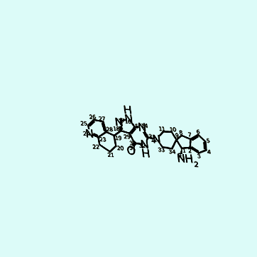 N[C@@H]1c2ccccc2CC12CCN(c1nc3[nH]nc(C4CCCc5ncccc54)c3c(=O)[nH]1)CC2